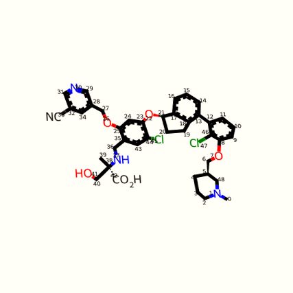 CN1CCC[C@@H](COc2cccc(-c3cccc4c3CC[C@H]4Oc3cc(OCc4cncc(C#N)c4)c(CN[C@](C)(CO)C(=O)O)cc3Cl)c2Cl)C1